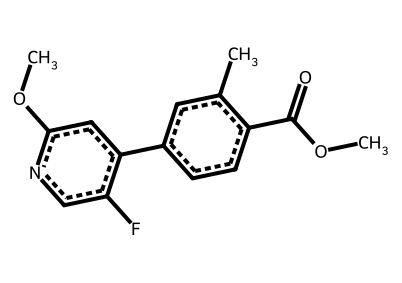 COC(=O)c1ccc(-c2cc(OC)ncc2F)cc1C